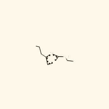 CCCc1csc(NCC)n1